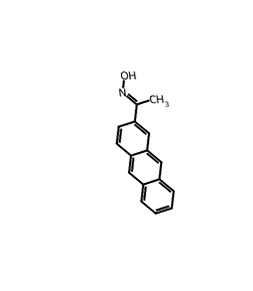 CC(=NO)c1ccc2cc3ccccc3cc2c1